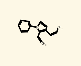 C=Cc1c(/C=C\C)ccn1-c1ccccc1